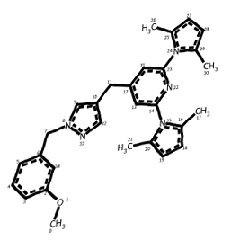 COc1cccc(Cn2cc(Cc3cc(-n4c(C)ccc4C)nc(-n4c(C)ccc4C)c3)cn2)c1